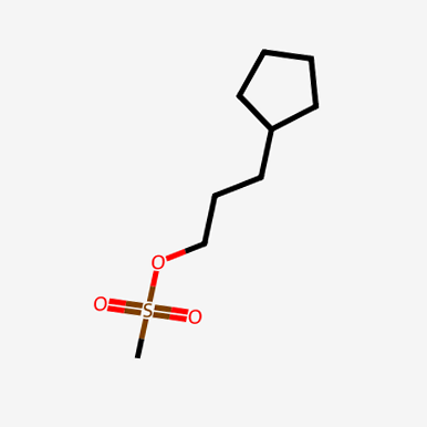 CS(=O)(=O)OCCCC1CCCC1